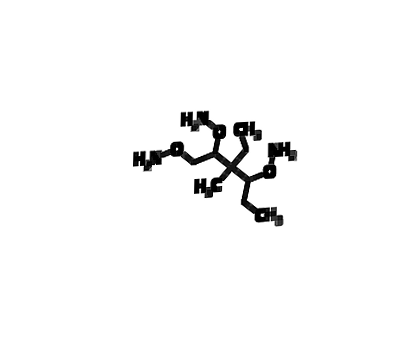 CCC(ON)C(C)(CC)C(CON)ON